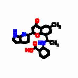 Cc1cc(C(C)Nc2ccccc2C(=O)O)c2oc(-c3ccc4cc[nH]c4n3)cc(=O)c2c1